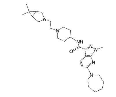 Cn1nc(C(=O)NC2CCN(CCN3CC4C(C3)C4(C)C)CC2)c2ccc(N3CCCCCC3)nc21